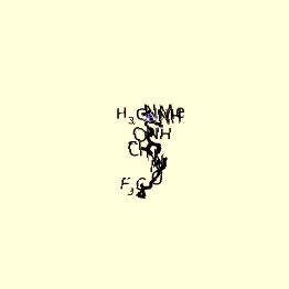 CN/C(C)=C(\C=N)SNC(=O)c1ccc(-n2ccc(OCCC3(C(F)(F)F)CC3)n2)nc1Cl